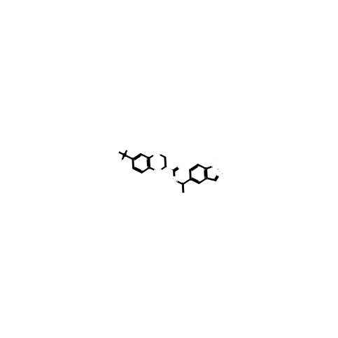 CC(NC(=O)[C@@H]1COc2cc(C(F)(F)F)ccc2O1)c1ccc2[nH]ncc2c1